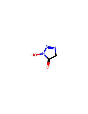 O=C1CN=NN1O